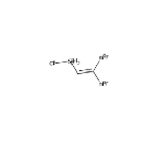 CCCC(=C[SiH2]Cl)CCC